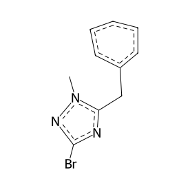 Cn1nc(Br)nc1Cc1ccccc1